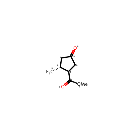 COC(=O)C1CC(=O)C[C@H]1C(F)(F)F